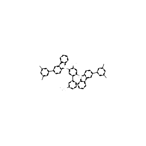 Cc1cc(C)cc(-c2ccc3c(c2)c2ccccc2n3-c2cc(C(F)(F)F)c(-n3c4ccccc4c4cc(-c5cc(C)cc(C)c5)ccc43)cc2-c2cccc(C#N)c2)c1